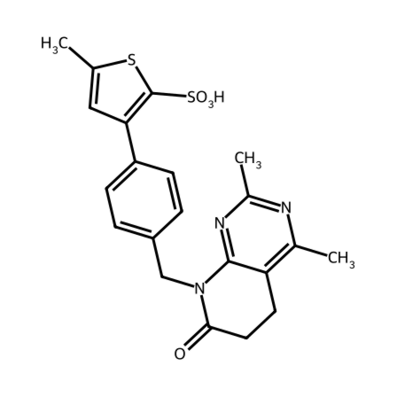 Cc1nc(C)c2c(n1)N(Cc1ccc(-c3cc(C)sc3S(=O)(=O)O)cc1)C(=O)CC2